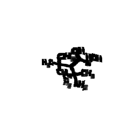 CC(C)(C)C(C(O)NO)C(C)(C)N